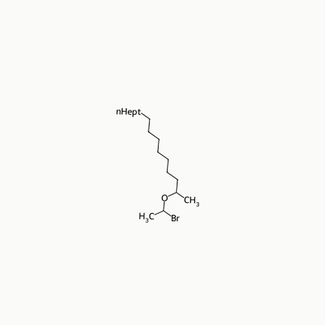 CCCCCCCCCCCCCCC(C)OC(C)Br